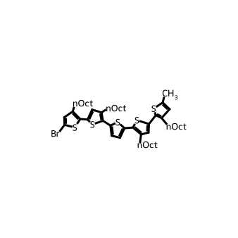 CCCCCCCCc1cc(C)sc1-c1cc(CCCCCCCC)c(-c2ccc(-c3sc(-c4sc(Br)cc4CCCCCCCC)cc3CCCCCCCC)s2)s1